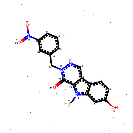 Cn1c2cc(O)ccc2c2cnn(Cc3cccc([N+](=O)[O-])c3)c(=O)c21